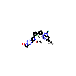 C=Cc1cnc2c(Nc3cccc(-c4cccc(-c5ccc(CNC[C@@H]6CCC(=O)N6)c(OC)n5)c4Cl)c3C)nc(C(F)F)nc2c1